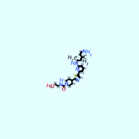 C=C(/C=C(C)\C=C/N)Nc1cccc(-c2cnc(C3CCN(C(=O)NCCO)CC3)s2)n1